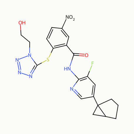 O=C(Nc1ncc(C23CCCC2C3)cc1F)c1cc([N+](=O)[O-])ccc1Sc1nnnn1CCO